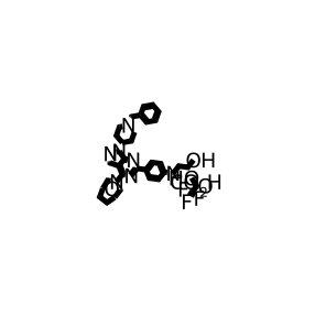 O=C(O)C(F)(F)F.O=C(O)N(CCO)c1ccc(-c2nc(N3CC4CCC(C3)O4)c3cnn(C4CCN(Cc5ccccc5)CC4)c3n2)cc1